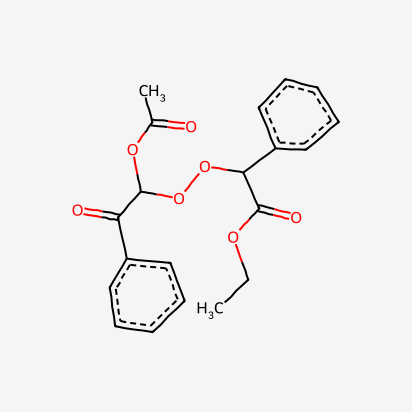 CCOC(=O)C(OOC(OC(C)=O)C(=O)c1ccccc1)c1ccccc1